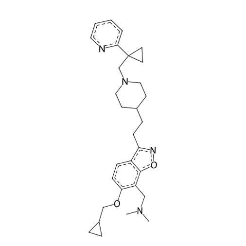 CN(C)Cc1c(OCC2CC2)ccc2c(CCC3CCN(CC4(c5ccccn5)CC4)CC3)noc12